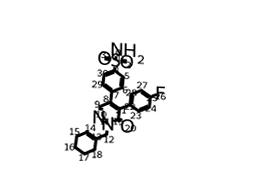 NS(=O)(=O)c1ccc(-c2cnn(CC3=CCCCC3)c(=O)c2-c2ccc(F)cc2)cc1